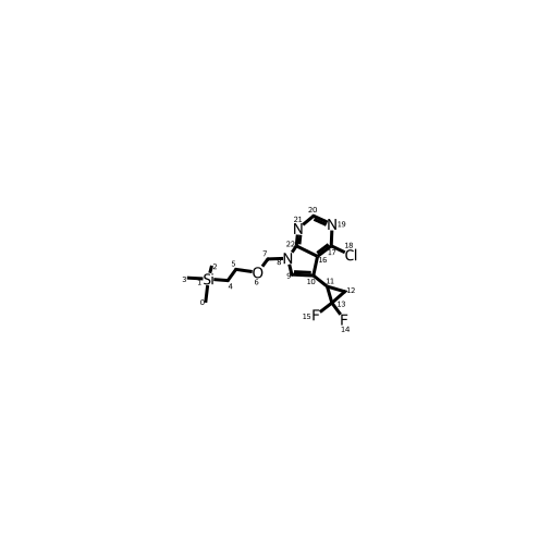 C[Si](C)(C)CCOCn1cc(C2CC2(F)F)c2c(Cl)ncnc21